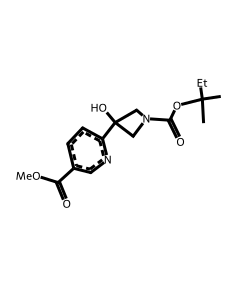 CCC(C)(C)OC(=O)N1CC(O)(c2ccc(C(=O)OC)cn2)C1